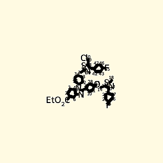 CCOC(=O)c1ccc2c(c1)nc(-c1ccc(OCc3sc(C)nc3-c3ccc(F)cc3)cc1)n2C1CCCCC1.Cc1nc(-c2ccc(F)cc2)c(CCl)s1